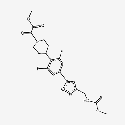 COC(=O)C(=O)N1CCN(c2c(F)cc(-n3cc(CNC(=S)OC)nn3)cc2F)CC1